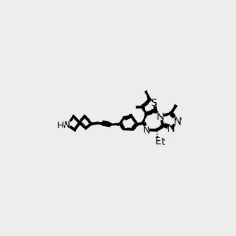 CC[C@@H]1N=C(c2ccc(C#CC3CC4(CNC4)C3)cc2)c2c(sc(C)c2C)-n2c(C)nnc21